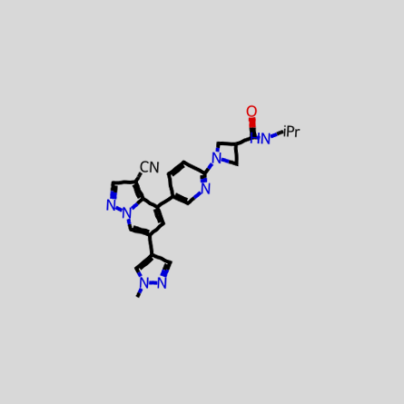 CC(C)NC(=O)C1CN(c2ccc(-c3cc(-c4cnn(C)c4)cn4ncc(C#N)c34)cn2)C1